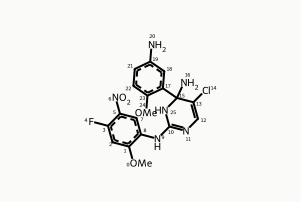 COc1cc(F)c([N+](=O)[O-])cc1NC1=NC=C(Cl)C(N)(c2cc(N)ccc2OC)N1